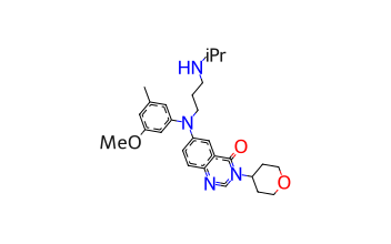 COc1cc(C)cc(N(CCCNC(C)C)c2ccc3ncn(C4CCOCC4)c(=O)c3c2)c1